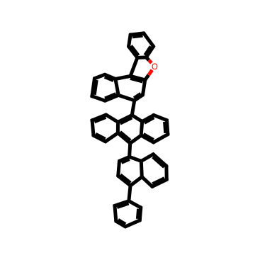 C1=CC2C(c3ccccc3)=CC=C(c3c4ccccc4c(-c4cc5oc6ccccc6c5c5ccccc45)c4ccccc34)C2C=C1